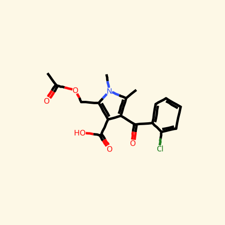 CC(=O)OCc1c(C(=O)O)c(C(=O)c2ccccc2Cl)c(C)n1C